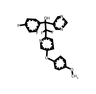 COc1ccc(Oc2ccc(C(F)(F)C(O)(c3cncnc3)c3ccc(F)cc3F)nc2)cc1